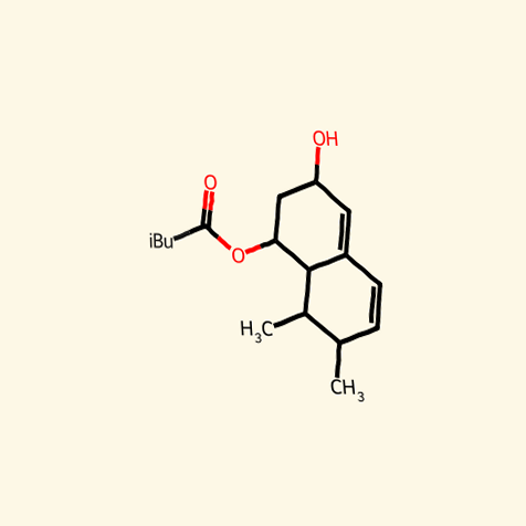 CCC(C)C(=O)OC1CC(O)C=C2C=CC(C)C(C)C21